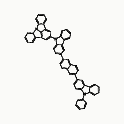 c1ccc(-n2c3ccccc3c3cc(-c4ccc5cc(-c6ccc7c(c6)c6ccccc6n7-c6cc7c8ccccc8n8c9ccccc9c(c6)c78)ccc5c4)ccc32)cc1